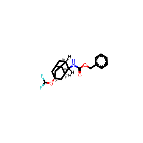 O=C(N[C@@H]1[C@@H]2CC3C[C@H]1C[C@@](OC(F)F)(C3)C2)OCc1ccccc1